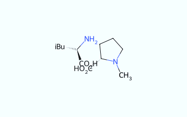 CC[C@@H](C)[C@@H](N)C(=O)O.CN1CCC[C@H]1C(=O)O